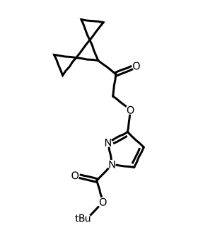 CC(C)(C)OC(=O)n1ccc(OCC(=O)C2C3(CC3)C23CC3)n1